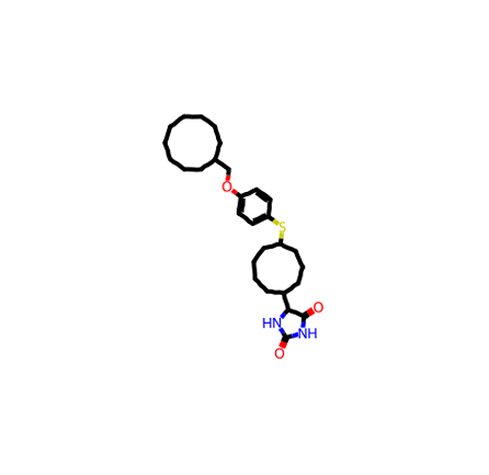 O=C1NC(=O)C(C2CCCCC(Sc3ccc(OCC4CCCCCCCCC4)cc3)CCC2)N1